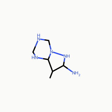 CC1C(N)NN2CNCNC12